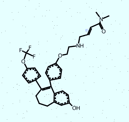 CN(C)C(=O)/C=C/CNCCOc1ccc(C2=C(c3ccc(OC(F)(F)F)cc3)CCCc3cc(O)ccc32)cc1